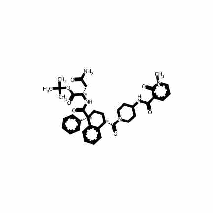 Cn1cccc(C(=O)NC2CCN(C(=O)[C@H]3CC[C@@](C(=O)N[C@@H](CC(N)=O)C(=O)OC(C)(C)C)(c4ccccc4)c4ccccc43)CC2)c1=O